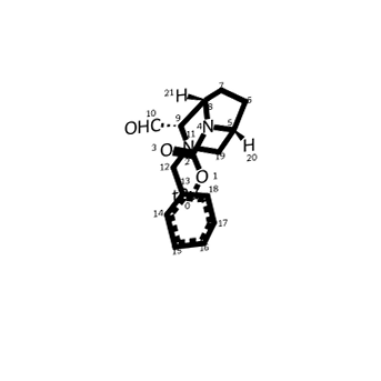 CC(C)(C)OC(=O)N1[C@@H]2CC[C@H]1[C@@H](C=O)N(Cc1ccccc1)C2